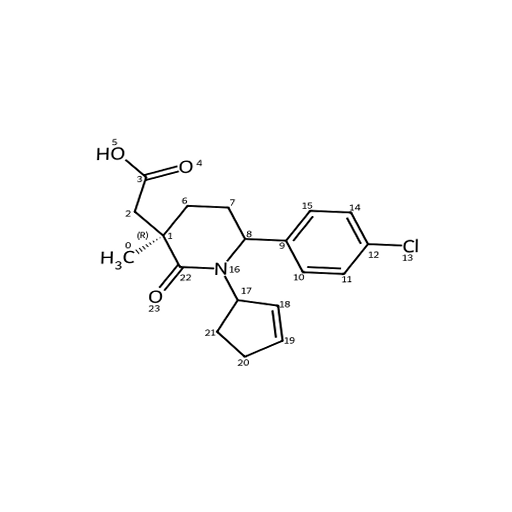 C[C@]1(CC(=O)O)CCC(c2ccc(Cl)cc2)N(C2C=CCC2)C1=O